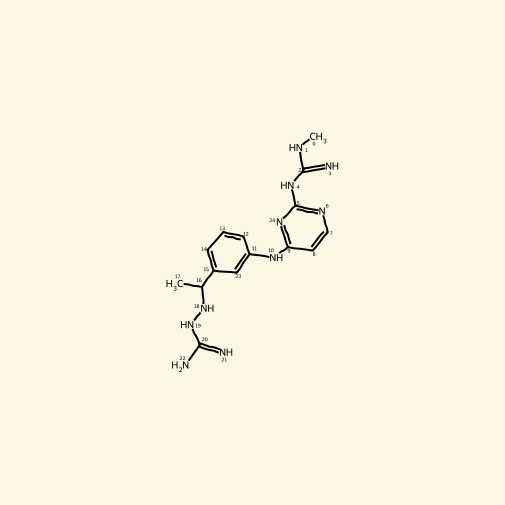 CNC(=N)Nc1nccc(Nc2cccc(C(C)NNC(=N)N)c2)n1